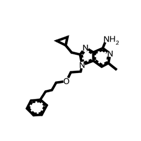 Cc1cc2c(nc(CC3CC3)n2CCOCCCc2ccccc2)c(N)n1